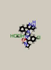 CN1CCCC1C(C(=O)N1CCN(c2c(-c3ccccc3)cnc3[nH]ccc23)CC1)c1ccc(Cl)cc1.Cl.Cl